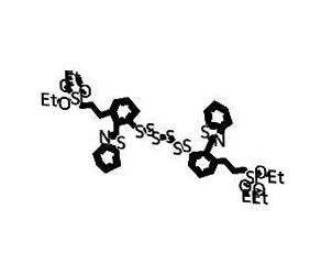 CCO[Si](CCCc1cccc(SSSSSSc2cccc(CCC[Si](OCC)(OCC)OCC)c2-c2nc3ccccc3s2)c1-c1nc2ccccc2s1)(OCC)OCC